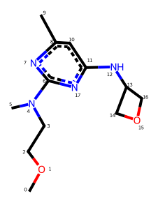 COCCN(C)c1nc(C)cc(NC2COC2)n1